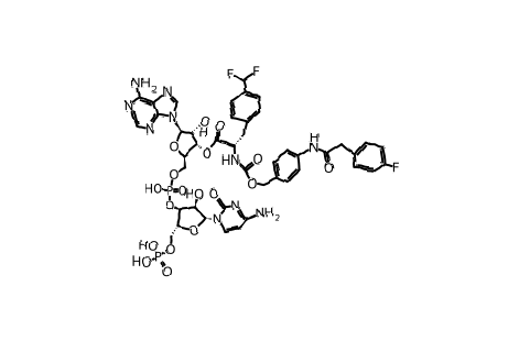 Nc1ccn([C@@H]2O[C@H](COP(=O)(O)O)[C@@H](OP(=O)(O)OC[C@H]3O[C@@H](n4cnc5c(N)ncnc54)[C@H](O)[C@@H]3OC(=O)[C@H](Cc3ccc(C(F)F)cc3)NC(=O)OCc3ccc(NC(=O)Cc4ccc(F)cc4)cc3)[C@H]2O)c(=O)n1